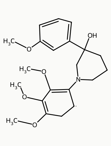 COC1=C(OC)C(OC)=C(N2CCCC(O)(c3cccc(OC)c3)C2)[CH]C1